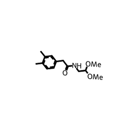 COC(CNC(=O)Cc1ccc(C)c(C)c1)OC